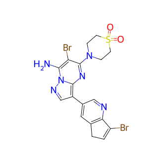 Nc1c(Br)c(N2CCS(=O)(=O)CC2)nc2c(-c3cnc4c(c3)CC=C4Br)cnn12